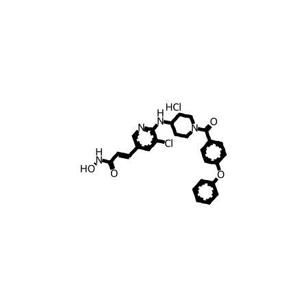 Cl.O=C(C=Cc1cnc(NC2CCN(C(=O)c3ccc(Oc4ccccc4)cc3)CC2)c(Cl)c1)NO